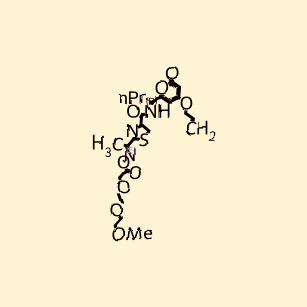 C=CCOc1cc([C@@H](CCC)NC(=O)C2CSC(/C(C)=N/OC(=O)COCCOCCOC)=N2)oc(=O)c1